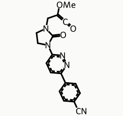 COC(=C=O)CN1CCN(c2ccc(-c3ccc(C#N)cc3)nn2)C1=O